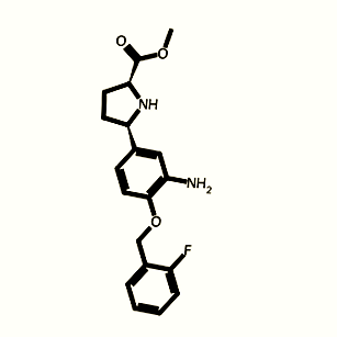 COC(=O)[C@@H]1CC[C@H](c2ccc(OCc3ccccc3F)c(N)c2)N1